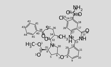 COC(=O)[C@@H]1CC(Oc2cccc(C3NC(=O)c4cc(S(N)(=O)=O)c(Cl)cc4N3)c2)CN1C(=O)C(C)CSC(=O)c1ccccc1